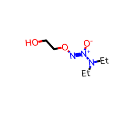 CCN(CC)/[N+]([O-])=N/OCCO